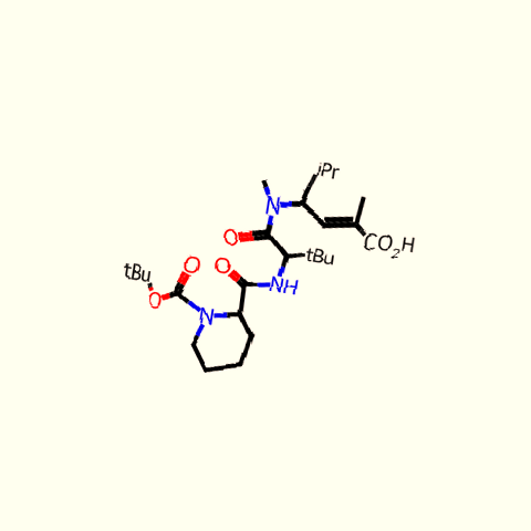 C/C(=C\C(C(C)C)N(C)C(=O)C(NC(=O)C1CCCCN1C(=O)OC(C)(C)C)C(C)(C)C)C(=O)O